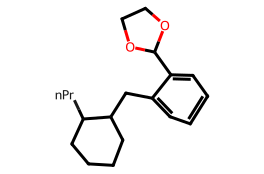 CCCC1CCCCC1Cc1ccccc1C1OCCO1